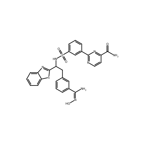 NC(=O)c1ccnc(-c2cccc(S(=O)(=O)NC(Cc3cccc(/C(N)=N\O)c3)c3nc4ccccc4s3)c2)n1